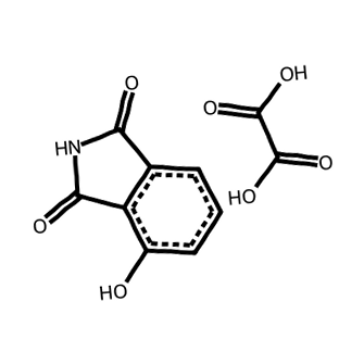 O=C(O)C(=O)O.O=C1NC(=O)c2c(O)cccc21